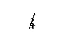 [CH2]CCCCCOCCc1ccc(C(F)(F)F)cc1